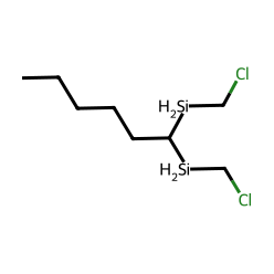 CCCCCC([SiH2]CCl)[SiH2]CCl